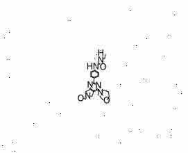 CCNC(=O)Nc1ccc(-c2nc3c(c(N4CCCOCC4)n2)CN(C=O)C3)cc1